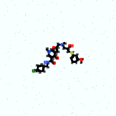 COc1cccc(SCC(O)CN(C)Cc2cc3c(=O)c(C(=O)NCc4ccc(Cl)cc4)cn(C)c3o2)c1